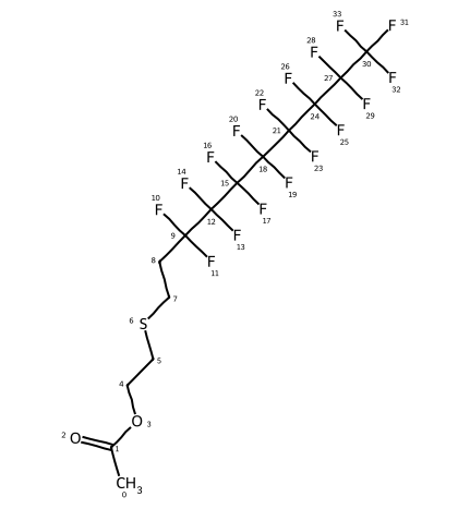 CC(=O)OCCSCCC(F)(F)C(F)(F)C(F)(F)C(F)(F)C(F)(F)C(F)(F)C(F)(F)C(F)(F)F